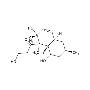 C[C@H]1C[C@H](O)[C@H]2[C@@H](C=C[C@@](C)(O)[C@]2(C)C(=O)CCO)C1